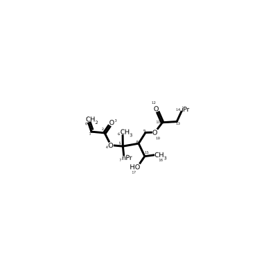 C=CC(=O)OC(C)(CCC)C(COC(=O)CC(C)C)C(C)O